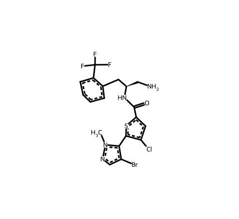 Cn1ncc(Br)c1-c1sc(C(=O)N[C@H](CN)Cc2ccccc2C(F)(F)F)cc1Cl